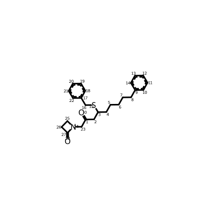 O=C(CC(CCCCCc1ccccc1)SCc1ccccc1)CN1CCC1=O